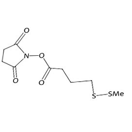 CSSCCCC(=O)ON1C(=O)CCC1=O